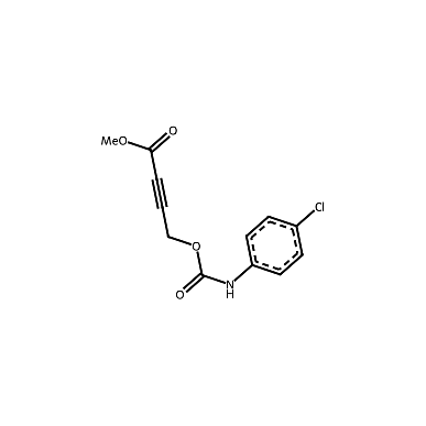 COC(=O)C#CCOC(=O)Nc1ccc(Cl)cc1